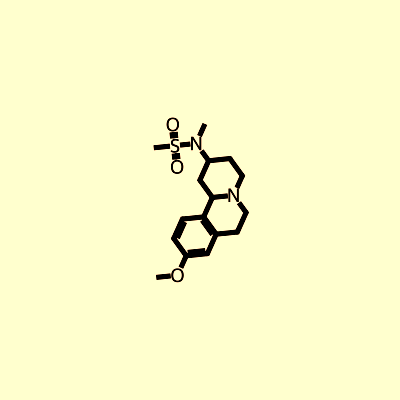 COc1ccc2c(c1)CCN1CCC(N(C)S(C)(=O)=O)CC21